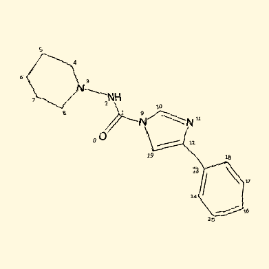 O=C(NN1CCCCC1)n1cnc(-c2ccccc2)c1